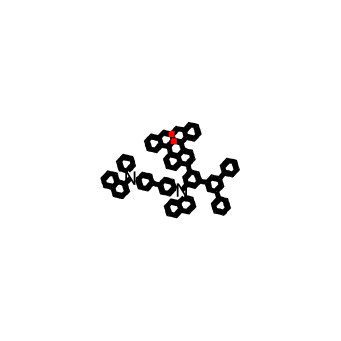 c1ccc(-c2cc(-c3ccccc3)cc(-c3cc(-c4ccc(-c5cccc6ccccc56)c5c(-c6cccc7ccccc67)cccc45)cc(N(c4ccc(-c5ccc(N(c6ccccc6)c6cccc7ccccc67)cc5)cc4)c4cccc5ccccc45)c3)c2)cc1